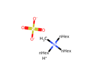 CCCCCC[N+](C)(CCCCCC)CCCCCC.O=S(=O)([O-])[O-].[H+]